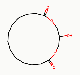 O=C1CCCCCCCCCCCC(=O)OCC(O)CO1